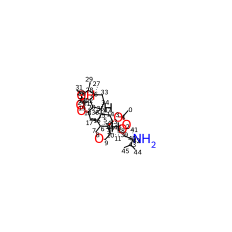 CC(=O)O[C@@H]1C[C@@]23COC[C@@](C)([C@@H]2CC[C@H]2C3=CC(=O)[C@@]3(C)[C@H](C(=O)O)[C@@](C)([C@H](C)C(C)C)CC[C@]23C)[C@H]1OC[C@@](C)(N)C(C)C